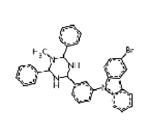 CN1C(c2ccccc2)NC(c2cccc(-n3c4ccccc4c4cc(Br)ccc43)c2)NC1c1ccccc1